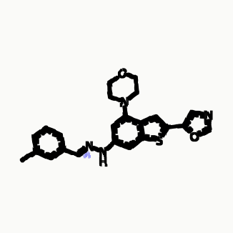 Cc1cccc(/C=N/Nc2cc(N3CCOCC3)c3cc(-c4cnco4)sc3c2)c1